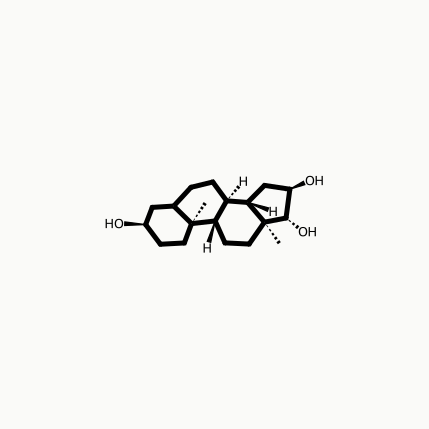 C[C@]12CC[C@H]3[C@@H](CCC4C[C@H](O)CC[C@@]43C)[C@@H]1C[C@@H](O)[C@@H]2O